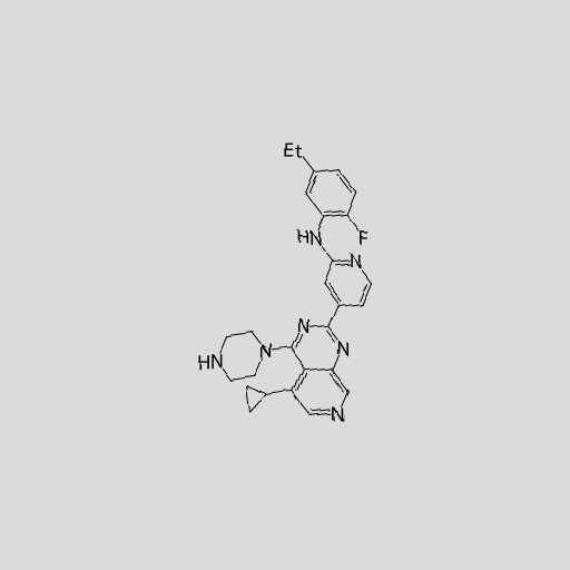 CCc1ccc(F)c(Nc2cc(-c3nc(N4CCNCC4)c4c(C5CC5)cncc4n3)ccn2)c1